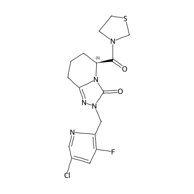 O=C([C@@H]1CCCc2nn(Cc3ncc(Cl)cc3F)c(=O)n21)N1CCSC1